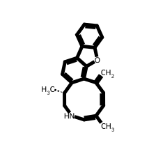 C=C1/C=C\C(C)=C/NC[C@H](C)c2ccc3c(oc4ccccc43)c21